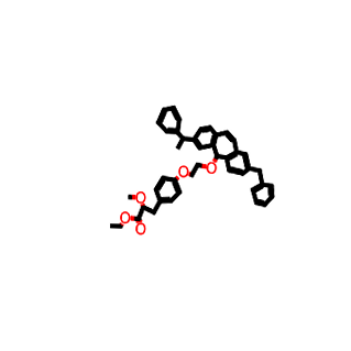 CCOC(=O)C(Cc1ccc(OCCOC2c3ccc(Cc4ccccc4)cc3C=Cc3ccc(C(C)c4ccccc4)cc32)cc1)OC